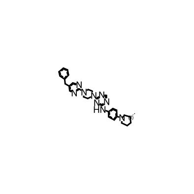 C[C@@H]1CCCN(c2ccc(Nc3ncnc(N4CCN(c5ncc(Cc6ccccc6)cn5)CC4)n3)cc2)C1